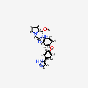 COC[C@@H]1CCCN1Cc1nc2cc(Oc3ccc(-c4ccn[nH]4)cc3)ccc2[nH]1